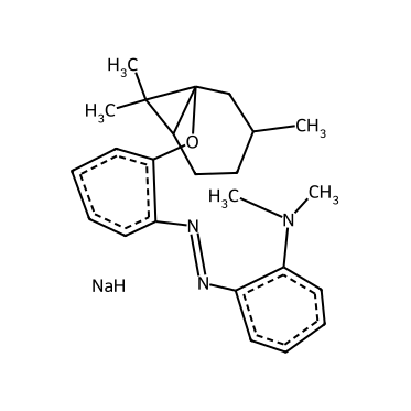 CC1CCC2C(C)(C)C2(Oc2ccccc2N=Nc2ccccc2N(C)C)C1.[NaH]